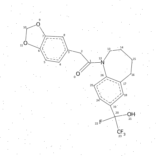 O=C(Cc1ccc2c(c1)OCO2)N1CCCCc2cc(C(O)(F)C(F)(F)F)ccc21